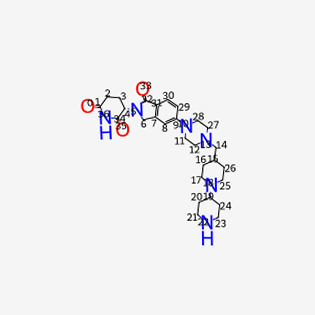 O=C1CC[C@H](N2Cc3cc(N4CCN(CC5CCN(C6CCNCC6)CC5)CC4)ccc3C2=O)C(=O)N1